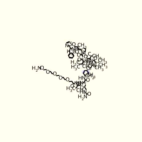 C=C(/C=C\C(=C/C)OCC(=O)N(C)[C@H](C(=O)N[C@H](C(=O)N(C)[C@@H]([C@@H](C)CC)[C@@H](CC(=O)N1CCC[C@H]1[C@H](OC)[C@@H](C)C(=O)N[C@@H](Cc1ccccc1)c1nccs1)OC)C(C)C)C(C)C)NC(=O)[C@H](CCCNC(N)=O)NC(=O)[C@@H](NC(=O)CCOCCOCCOCCOCCON)C(C)C